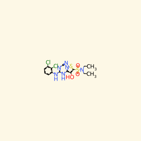 CCN(CC)S(=O)(=O)c1snc(NC(=NC#N)Nc2cccc(Cl)c2Cl)c1O